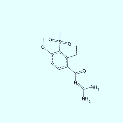 CCc1c(C(=O)N=C(N)N)ccc(OC)c1S(C)(=O)=O